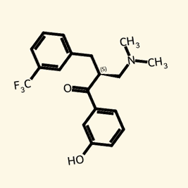 CN(C)C[C@H](Cc1cccc(C(F)(F)F)c1)C(=O)c1cccc(O)c1